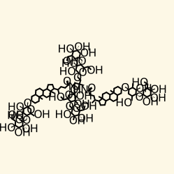 CC(CCC(=O)NCC(CNC(=O)CCC(C)C1CCC2C3CCC4CC(O[C@@H]5CC(CO)[C@@H](O[C@H]6CC(CO)[C@@H](O)[C@H](O)C6O)[C@H](O)C5C)CCC4(C)C3CCC12C)(CO[C@@H]1OC(CO)[C@@H](O[C@H]2CC(CO)[C@@H](O)[C@H](O)C2O)[C@H](O)C1O)CO[C@H]1OC(CO)[C@H](OC2OC(CO)[C@H](O)C(O)[C@H]2O)C(O)[C@H]1O)C1CCC2C3CCC4CC(O[C@H]5OC(CO)[C@H](O[C@@H]6OC(CO)[C@H](O)C(O)[C@H]6O)C(O)[C@H]5O)CCC4(C)C3CCC12C